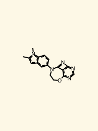 Cc1cc2cc(N3CCOc4ncnc5c4C3=N5)ccc2n1C